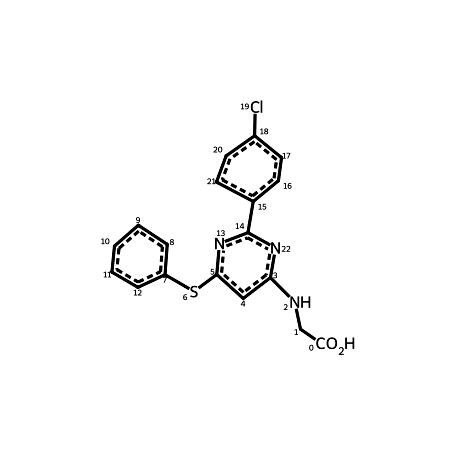 O=C(O)CNc1cc(Sc2ccccc2)nc(-c2ccc(Cl)cc2)n1